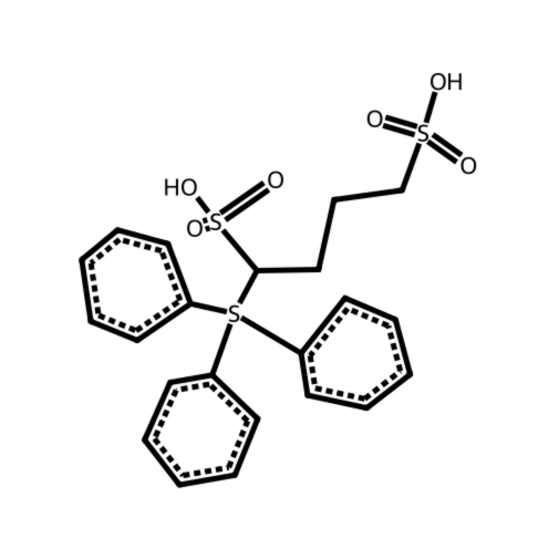 O=S(=O)(O)CCCC(S(c1ccccc1)(c1ccccc1)c1ccccc1)S(=O)(=O)O